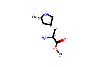 CC[C@H]1C[C@@H](C[C@H](N)C(=O)OC(C)(C)C)CN1